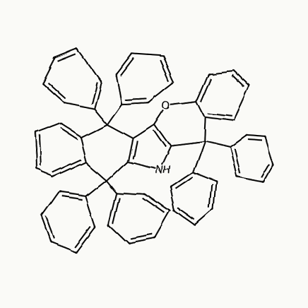 c1ccc(C2(c3ccccc3)c3ccccc3Oc3c2[nH]c2c3C(c3ccccc3)(c3ccccc3)c3ccccc3C2(c2ccccc2)c2ccccc2)cc1